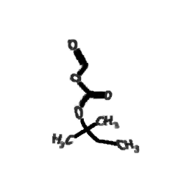 CCC(C)(C)OC(=O)OC=O